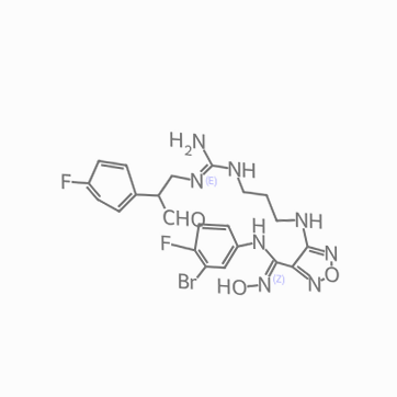 N/C(=N\CC(C=O)c1ccc(F)cc1)NCCCNc1nonc1/C(=N/O)Nc1ccc(F)c(Br)c1